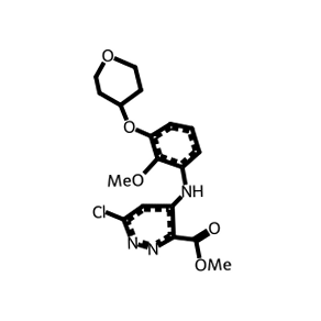 COC(=O)c1nnc(Cl)cc1Nc1cccc(OC2CCOCC2)c1OC